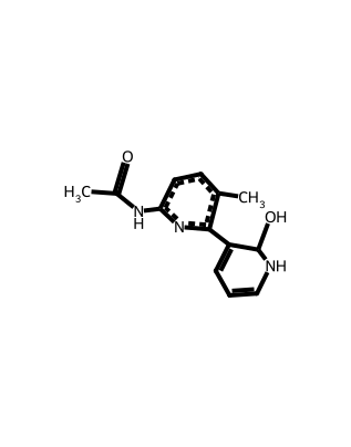 CC(=O)Nc1ccc(C)c(C2=CC=CNC2O)n1